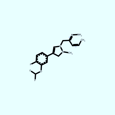 C/C=C\C(CN1C=C(c2ccc(F)c(OC(F)F)c2)CN1C)=N/N